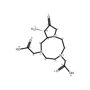 C[C@@H]1C(=O)CN2CCN(CC(=O)O)CCN(CC(=O)O)CC12